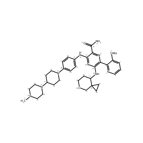 COc1cccnc1-c1nc(C(N)=O)c(Nc2ccc(N3CCC(N4CCN(C)CC4)CC3)cc2)nc1NC1CCOCC12CC2